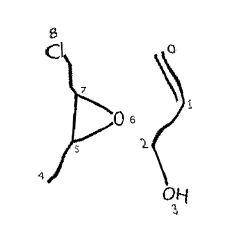 C=CCO.CC1OC1Cl